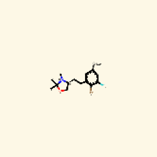 CC(=O)Nc1cc(F)c(Br)c(CC[C@H]2COC(C)(C)N2C)c1